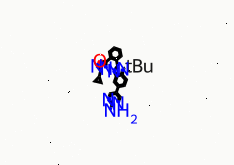 CC(C)(C)n1c(-c2ccccc2-c2nc(C3CC3)no2)nc2cc(-c3cnc(N)nc3)ccc21